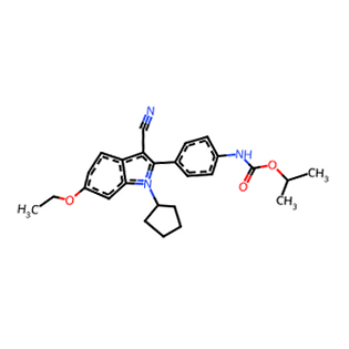 CCOc1ccc2c(C#N)c(-c3ccc(NC(=O)OC(C)C)cc3)n(C3CCCC3)c2c1